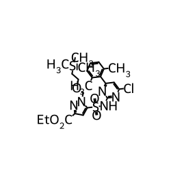 CCOC(=O)c1cc(S(=O)(=O)Nc2nc(Cl)cc(-c3c(C)cccc3C)n2)n(COCC[Si](C)(C)C)n1